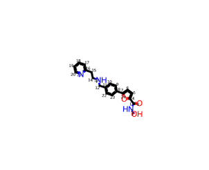 O=C(NO)c1ccc(-c2ccc(CNCCc3ccccn3)cc2)o1